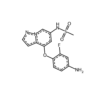 CS(=O)(=O)Nc1cc(Oc2ccc(N)cc2F)c2ccnn2c1